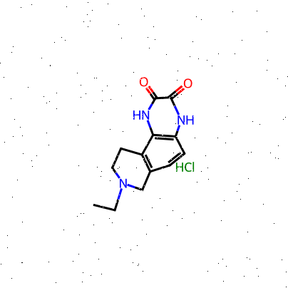 CCN1CCc2c(ccc3[nH]c(=O)c(=O)[nH]c23)C1.Cl